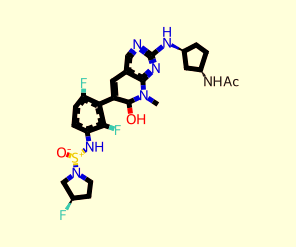 CC(=O)N[C@H]1CC[C@H](Nc2ncc3c(n2)N(C)C(O)C(c2c(F)ccc(N[S+]([O-])N4CC[C@@H](F)C4)c2F)=C3)C1